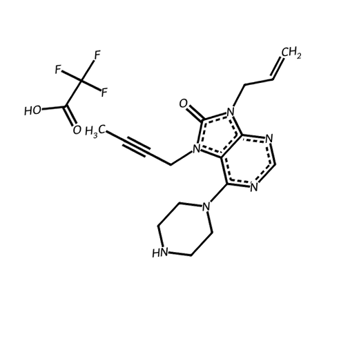 C=CCn1c(=O)n(CC#CC)c2c(N3CCNCC3)ncnc21.O=C(O)C(F)(F)F